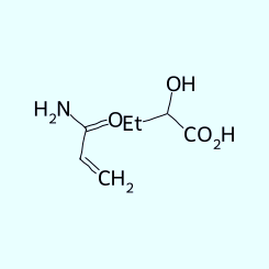 C=CC(N)=O.CCC(O)C(=O)O